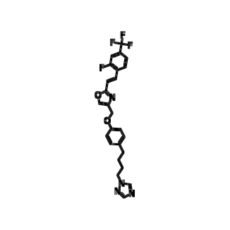 Fc1cc(C(F)(F)F)ccc1C=Cc1nc(COc2ccc(CCCCn3cncn3)cc2)co1